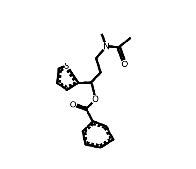 CC(=O)N(C)CCC(OC(=O)c1ccccc1)c1cccs1